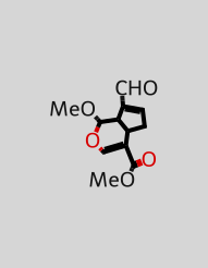 COC(=O)C1=COC(OC)C2C(C=O)=CCC12